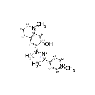 C/C(=N\N(C)c1cc2c(cc1O)N(C)CCC2)c1cc[n+](C)cc1